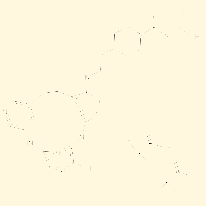 CC(C)NC(=O)N1CCC(CC(=O)Nc2ccc3cc2CCc2cncc(c2)Nc2ncc(Cl)c(n2)N3)CC1.O=C(O)C(F)(F)F.O=C(O)C(F)(F)F